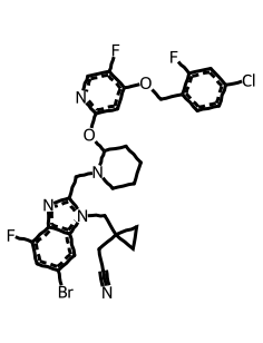 N#CCC1(Cn2c(CN3CCCCC3Oc3cc(OCc4ccc(Cl)cc4F)c(F)cn3)nc3c(F)cc(Br)cc32)CC1